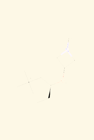 CC[C@@H](CC(C)(C)C)OC1CN(C)C1